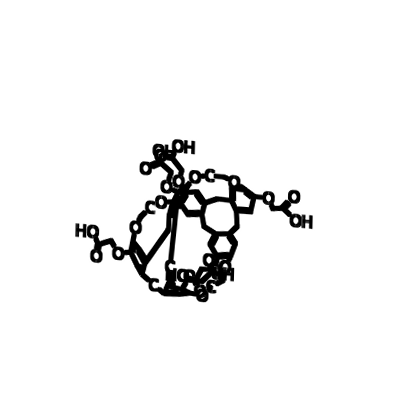 O=C(O)COc1cc2c3cc1OCCOc1cc4c(cc1OCC(=O)O)Cc1cc5c(OCC(=O)O)cc1Cc1cc(c(OCC(=O)O)cc1C4)OCCOc1cc(c(cc1OCC(=O)O)Cc1cc(c(OCC(=O)O)cc1C3)OCCO5)C2